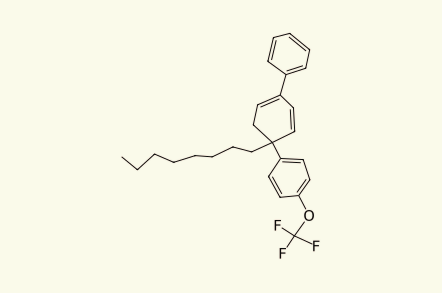 CCCCCCCCC1(c2ccc(OC(F)(F)F)cc2)C=CC(c2ccccc2)=CC1